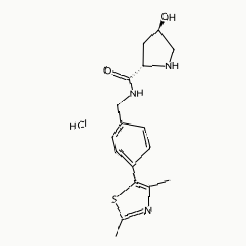 Cc1nc(C)c(-c2ccc(CNC(=O)[C@@H]3C[C@@H](O)CN3)cc2)s1.Cl